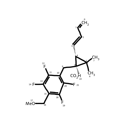 C=CC=C[C@@H]1C(C)(C)[C@]1(Cc1c(F)c(F)c(COC)c(F)c1F)C(=O)O